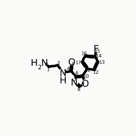 NCCNC(=O)c1ncoc1-c1ccc(F)cc1